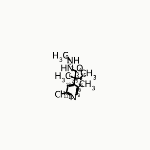 CNNC(=O)C(C)(c1ccnc(Cl)c1)C(C)C